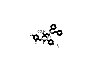 Cc1ccc(N2CC(CC(=O)O)(CC(=O)N(CCc3ccccc3)Cc3ccccc3)CN(Cc3ccc(Cl)cc3Cl)C2=O)cc1